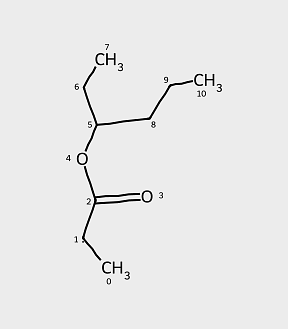 C[CH]C(=O)OC(CC)CCC